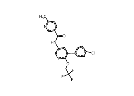 Cc1ccc(C(=O)Nc2cnc(OCC(F)(F)F)c(-c3ccc(Cl)cc3)c2)cn1